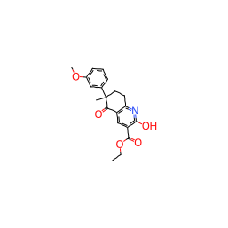 CCOC(=O)c1cc2c(nc1O)CCC(C)(c1cccc(OC)c1)C2=O